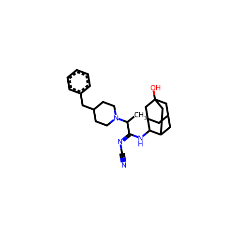 CC(/C(=N/C#N)NC1C2CC3CC1CC(O)(C3)C2)N1CCC(Cc2ccccc2)CC1